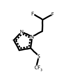 FC(F)Cn1n[c]cc1SC(F)(F)F